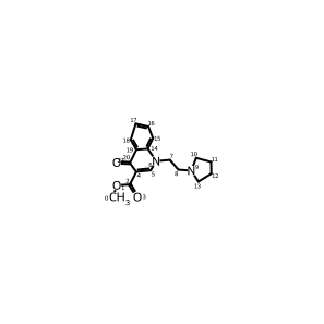 COC(=O)c1cn(CCN2CCCC2)c2ccccc2c1=O